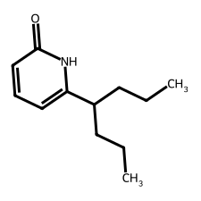 CCCC(CCC)c1cccc(=O)[nH]1